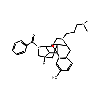 CN(C)CCCN1CCC23c4cc(O)ccc4CC1C21CCC2C3[C@@H](CN2C(=O)c2ccccc2)C1